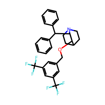 FC(F)(F)c1cc(COC2C3CCN(CC3)C2C(c2ccccc2)c2ccccc2)cc(C(F)(F)F)c1